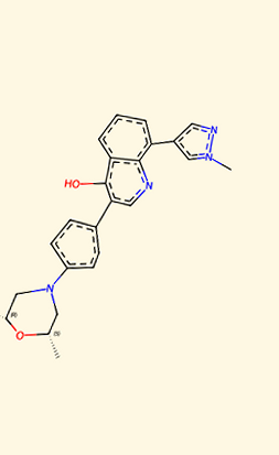 C[C@@H]1CN(c2ccc(-c3cnc4c(-c5cnn(C)c5)cccc4c3O)cc2)C[C@H](C)O1